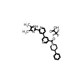 Cc1nc(-c2cc(-c3cncc(C(=O)N4CCC(c5ccccc5)CC4)c3)ccn2)[nH]c1C.O=C(O)C(F)(F)F